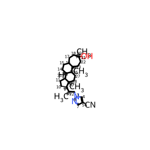 C[C@H](Cn1cc(C#N)cn1)[C@H]1CCC2[C@@H]3CCC4CC[C@](C)(O)CC[C@]4(C)C3CC[C@@]21C